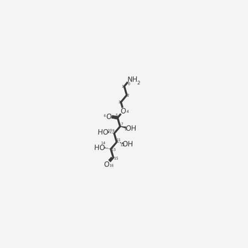 NCCCOC(=O)[C@@H](O)[C@@H](O)[C@H](O)[C@@H](O)C=O